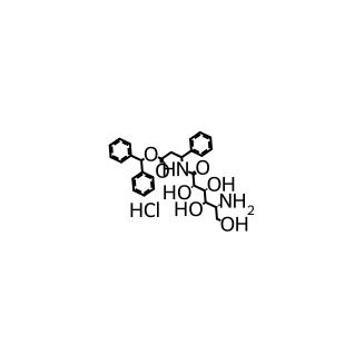 Cl.N[C@H](CO)[C@@H](O)[C@@H](O)[C@H](O)C(=O)NC(CC(=O)OC(c1ccccc1)c1ccccc1)c1ccccc1